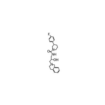 O=C(NCC(O)CN1CCc2ccccc2C1)N1CCCC(c2ccc(F)cc2)C1